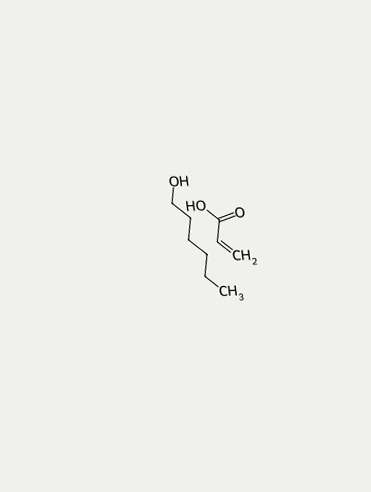 C=CC(=O)O.CCCCCCO